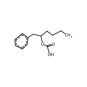 CCCCC(Cc1ccccc1)OC(=O)O